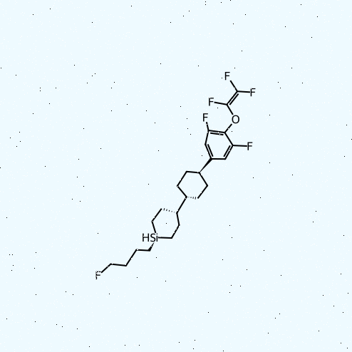 FCCCC[Si@H]1CC[C@H]([C@H]2CC[C@H](c3cc(F)c(OC(F)=C(F)F)c(F)c3)CC2)CC1